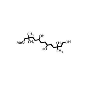 COCC(C)(C)CCC(O)CCC(O)CCC(C)(C)CCO